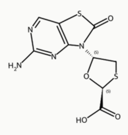 Nc1ncc2sc(=O)n([C@@H]3CS[C@@H](C(=O)O)O3)c2n1